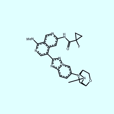 CNc1ncc(-c2nc3ccc(N4CC5CN(C)CC4CO5)cn3n2)c2cc(NC(=O)C3(F)CC3)ncc12